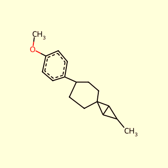 COc1ccc(C2CCC3(CC2)C2C(C)C23)cc1